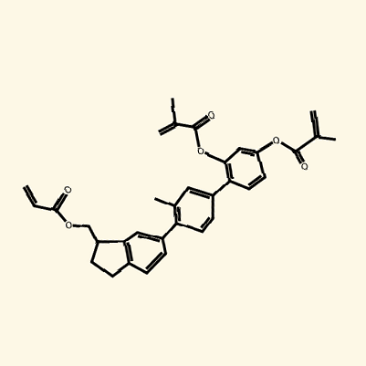 C=CC(=O)OCC1CCc2ccc(-c3ccc(-c4ccc(OC(=O)C(=C)C)cc4OC(=O)C(=C)C)cc3C)cc21